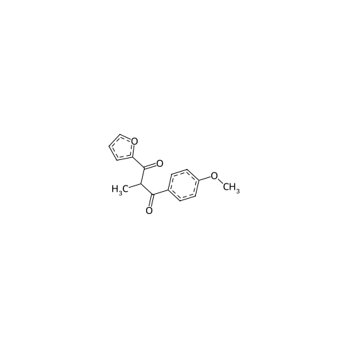 COc1ccc(C(=O)C(C)C(=O)c2ccco2)cc1